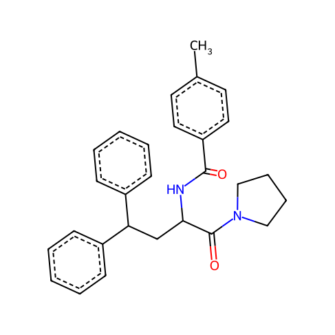 Cc1ccc(C(=O)NC(CC(c2ccccc2)c2ccccc2)C(=O)N2CCCC2)cc1